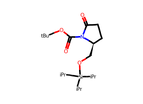 CC(C)[Si](OC[C@@H]1CCC(=O)N1C(=O)OC(C)(C)C)(C(C)C)C(C)C